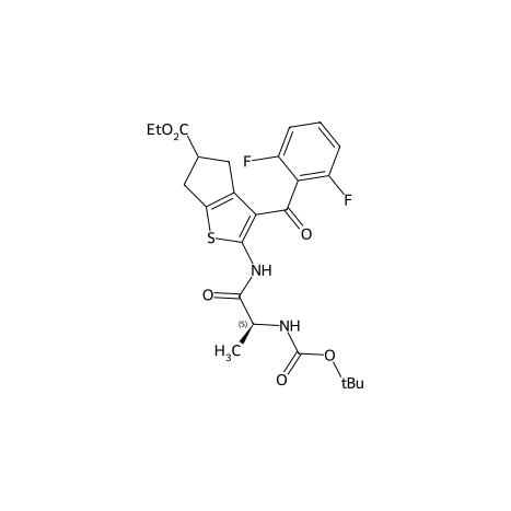 CCOC(=O)C1Cc2sc(NC(=O)[C@H](C)NC(=O)OC(C)(C)C)c(C(=O)c3c(F)cccc3F)c2C1